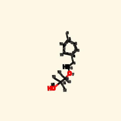 Cc1ccc(CBOC(C)(C)C(C)(C)O)cc1